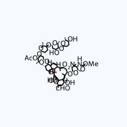 COC(=O)N[C@H]1[C@@H](C)O[C@@H](O[C@H]2C/C=C(\C)[C@@H]3C=C[C@@H]4[C@@H](O[C@H]5C[C@@H](O[C@H]6CCC(O[C@H]7C[C@@H](O)C(O[C@H]8CC[C@@H](O)[C@H](C)O8)[C@H](C)O7)[C@H](C)O6)[C@@H](OC(C)=O)[C@H](C)O5)[C@@H](C)C[C@H](C)[C@H]4[C@]3(C)C(=O)C3=C(O)C4(CC(C=O)=C[C@@H](O)[C@@H]4/C=C/2C)OC3=O)C[C@]1(C)[N+](=O)[O-]